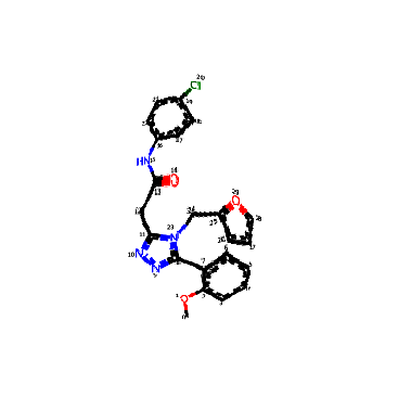 COc1ccccc1-c1nnc(CC(=O)Nc2ccc(Cl)cc2)n1Cc1ccco1